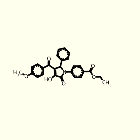 CCOC(=O)c1ccc(N2C(=O)C(O)=C(C(=O)c3ccc(OC)cc3)C2c2ccccc2)cc1